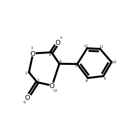 O=C1COC(=O)C(c2ccccc2)O1